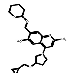 Cc1cc(N2CCC(OCC3CC3)C2)c2cc(C)c(COC3CCCCO3)cc2n1